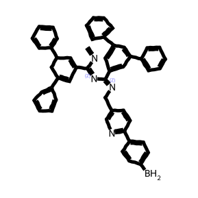 Bc1ccc(-c2ccc(C/N=C(\N=C(/N=C)C3=CC(c4ccccc4)CC(c4ccccc4)=C3)c3cc(-c4ccccc4)cc(-c4ccccc4)c3)cn2)cc1